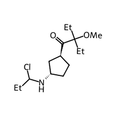 CCC(Cl)N[C@H]1CC[C@H](C(=O)C(CC)(CC)OC)C1